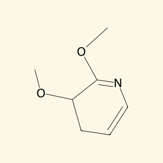 COC1=NC=CCC1OC